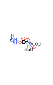 CC(C)COC(=O)N[C@@H](CNC(=O)c1ccc(OCCNC2=NCCN2)cc1O)C(=O)O